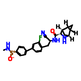 CN[S+]([O-])c1ccc(-c2ccc(C[C@@H](C#N)NC(=O)[C@H]3N[C@H]4C[C@@H]3[C@@H]3C[C@@H]34)c(F)c2)cc1